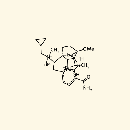 CCC[N@+](C)(CC1CC1)[C@@H]1Cc2ccc(C(N)=O)c3c2C2[C@@H](O3)[C@@]3(OC)CC[C@]21C[C@@H]3C(C)(O)C(C)(C)C